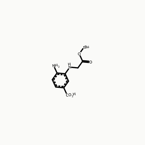 CC(C)(C)OC(=O)CNc1cc(C(=O)O)ccc1N